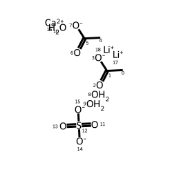 CC(=O)[O-].CC(=O)[O-].O.O.O.O=S(=O)([O-])[O-].[Ca+2].[Li+].[Li+]